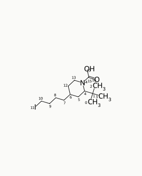 CC(C)(C)C1CC(CCCCI)CCN1C(=O)O